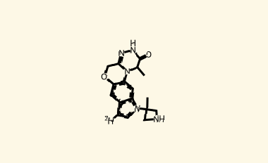 [2H]c1cn(C2(C)CNC2)c2cc3c(cc12)OCC1=NNC(=O)C(C)N13